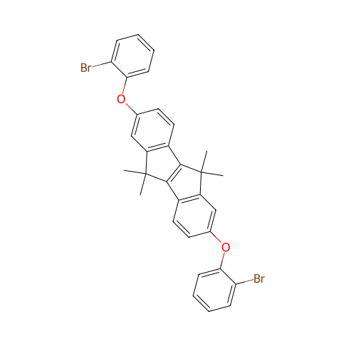 CC1(C)C2=C(c3ccc(Oc4ccccc4Br)cc31)C(C)(C)c1cc(Oc3ccccc3Br)ccc12